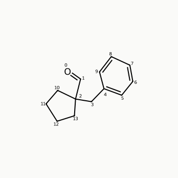 O=CC1(Cc2ccccc2)CCCC1